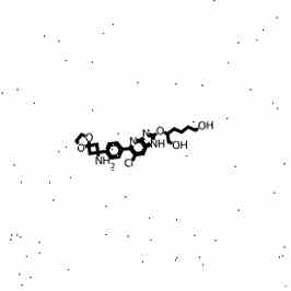 NC1(c2ccc(-c3nc4nc(OC(CO)CCCCO)[nH]c4cc3Cl)cc2)CC2(C1)OCCO2